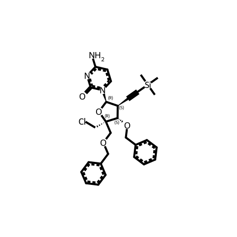 C[Si](C)(C)C#C[C@@H]1[C@H](n2ccc(N)nc2=O)O[C@](CCl)(COCc2ccccc2)[C@H]1OCc1ccccc1